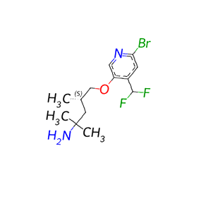 C[C@H](COc1cnc(Br)cc1C(F)F)CC(C)(C)N